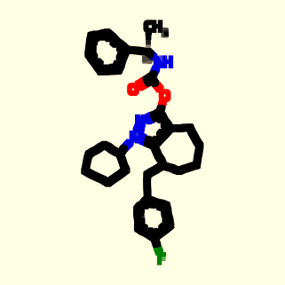 C[C@H](NC(=O)Oc1nn(C2CCCCC2)c2c1CCCCC2Cc1ccc(F)cc1)c1ccccc1